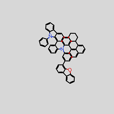 c1ccc(-n2c3ccccc3c3cccc(-c4ccccc4N(c4cccc(-c5cccc6c5oc5ccccc56)c4)c4ccccc4-c4cccc5cccc(C6CCCCC6)c45)c32)cc1